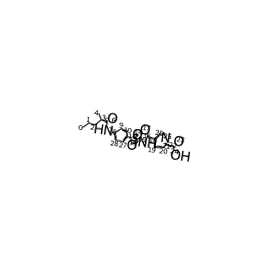 CCCC(C)C(=O)Nc1ccc(S(=O)(=O)NC(=O)c2ccc(C(=O)O)nc2)cc1